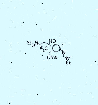 CCO/N=C(\C)CC(N=O)(c1cc(C)c(/N=C/N(C)CC)cc1COC)C(F)(F)F